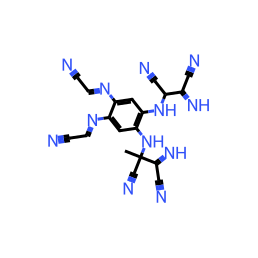 CC(C#N)(Nc1cc(/N=C/C#N)c(/N=C/C#N)cc1NC(C#N)C(=N)C#N)C(=N)C#N